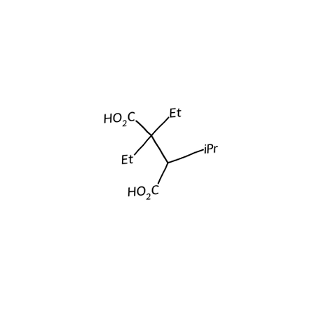 CCC(CC)(C(=O)O)C(C(=O)O)C(C)C